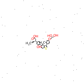 CC#C[C@@H](CC(=O)O)c1ccc(-c2ccc3scc(-c4ccc(OCC(O)CO)cc4C)c3c2)c(O)c1